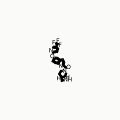 O=C(c1ccc2cc(Oc3ccc(C(F)(F)F)cn3)ccc2n1)N1CC[C@@H]2CN[C@@H]2C1